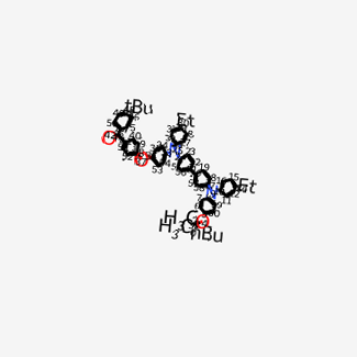 CCCCC(C)(C)Oc1ccc(N(c2ccc(CC)cc2)c2ccc(-c3ccc(N(c4ccc(CC)cc4)c4ccc(Oc5ccc(C(=O)c6ccc(C(C)(C)C)cc6)cc5)cc4)cc3)cc2)cc1